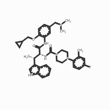 Cc1cc(F)ccc1N1CCN(C(=O)N[C@@H](C(=O)Nc2cc(CN(C)C)ccc2OCC2CC2)[C@@H](C)c2c[nH]c3ccccc23)CC1